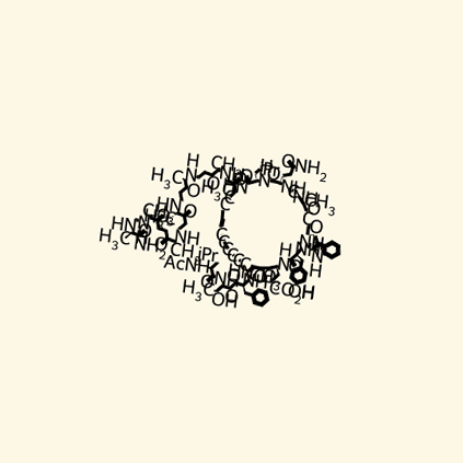 CC(=O)N[C@@H](CC(C)C)C(=O)N[C@H](C(=O)C(=O)[C@H](Cc1ccccc1)NN[C@]1(C)CCCCCC/C=C/CCC[C@@](C)(C(=O)CN[C@@H](C)C(=O)CCN[C@@H](C)C(=O)CCN[C@@H](C)C(=O)CCN[C@@H](C)C(=O)CCC(=O)[C@H](C)NCN[C@H](C)C(N)=O)NC(=O)[C@H](CC(C)C)NC(=O)[C@H](CCC(N)=O)NCN[C@@H](C)C(=O)CC(=O)[C@H](Cc2c[nH]c3ccccc23)NN[C@@H](Cc2ccc(O)cc2)C(=O)N[C@@H](CCC(=O)O)C(=O)C1=O)[C@@H](C)O